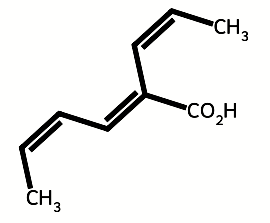 C\C=C/C=C(\C=C/C)C(=O)O